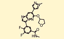 CNC(=O)c1cc(F)c(F)c(-c2cnc3cc(-c4cnn(C)c4)c(OC4CCOC4)nn23)c1